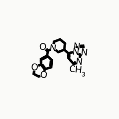 Cc1cc(C2CCCN(C(=O)c3ccc4c(c3)OCCO4)C2)n2ncnc2n1